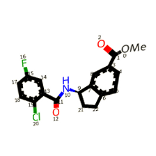 COC(=O)c1ccc2c(c1)[C@H](NC(=O)c1cc(F)ccc1Cl)CC2